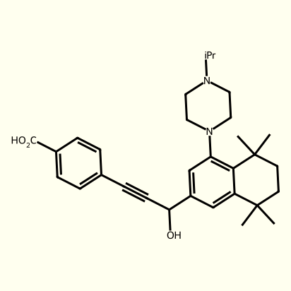 CC(C)N1CCN(c2cc(C(O)C#Cc3ccc(C(=O)O)cc3)cc3c2C(C)(C)CCC3(C)C)CC1